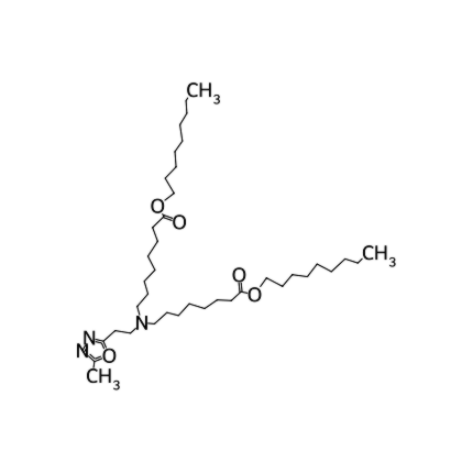 CCCCCCCCCOC(=O)CCCCCCCN(CCCCCCCC(=O)OCCCCCCCCC)CCc1nnc(C)o1